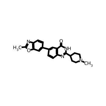 Cc1nc2ccc(-c3ccc4nc(C5CCN(C)CC5)[nH]c(=O)c4c3)cc2o1